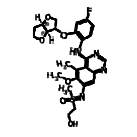 COc1c(N=S(C)(=O)CCO)cc2ncnc(Nc3ccc(F)cc3OC3CO[C@@H]4CCO[C@H]34)c2c1C